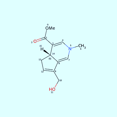 COC(=O)C1=CN(C)C=C2C(CO)=CC[C@H]12